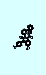 COc1ccc(CC(=O)NCc2ccccc2-c2cccc(OC(=O)Nc3ccc(OC)cc3)n2)cc1